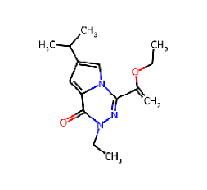 C=C(OCC)c1nn(CC)c(=O)c2cc(C(C)C)cn12